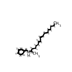 CCCCCCCCCCCCCCCC(C)NCc1ccccc1